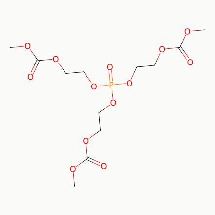 COC(=O)OCCOP(=O)(OCCOC(=O)OC)OCCOC(=O)OC